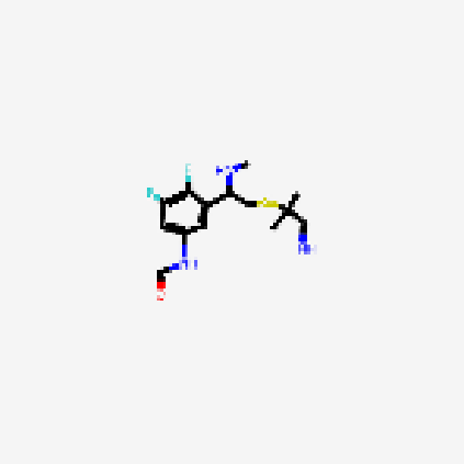 CNC(CSC(C)(C)C=N)c1cc(NC=O)cc(F)c1F